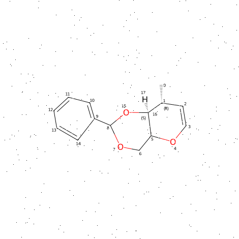 C[C@@H]1C=COC2COC(c3ccccc3)O[C@H]21